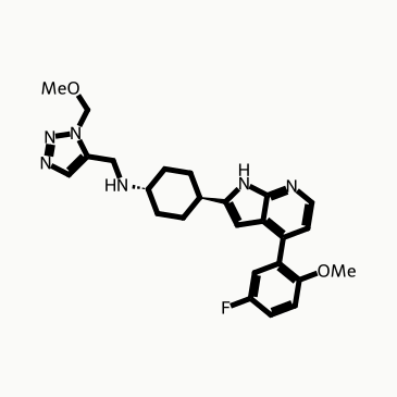 COCn1nncc1CN[C@H]1CC[C@H](c2cc3c(-c4cc(F)ccc4OC)ccnc3[nH]2)CC1